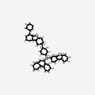 c1ccc(-c2cccc3c2oc2ccc(-c4ccc(N(c5ccc6c(c5)oc5ccccc56)c5cc6ccccc6c6ccccc56)cc4)cc23)cc1